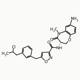 CC(Cl)Cc1cccc(Cc2cc(C(=O)N[C@H]3COc4ccc(N)cc4N(C)C3=O)no2)c1